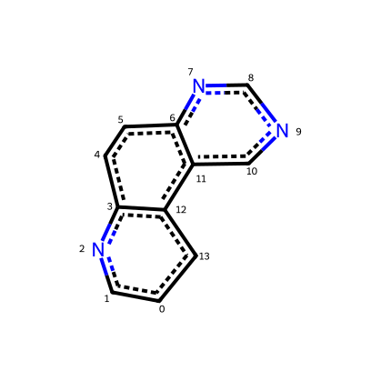 c1cnc2ccc3ncncc3c2c1